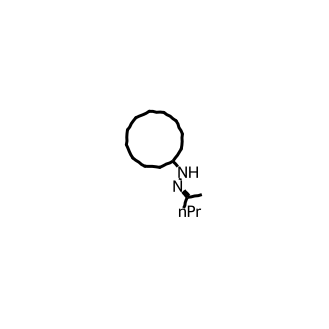 CCCC(C)=NNC1CCCCCCCCCCC1